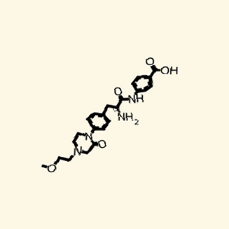 COCCN1CCN(c2ccc(C[C@H](N)C(=O)Nc3ccc(C(=O)O)cc3)cc2)C(=O)C1